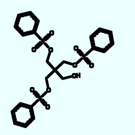 O=S(=O)(OCC(CO)(COS(=O)(=O)c1ccccc1)COS(=O)(=O)c1ccccc1)c1ccccc1